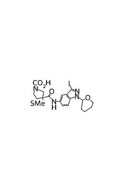 CSC1(C(=O)Nc2ccc3c(c2)c(I)nn3C2CCCCO2)CCN(C(=O)O)C1